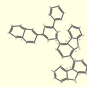 c1ccc(-c2nc(-c3ccc4ccccc4c3)nc(-c3ccc(-c4cccc5oc6ccncc6c45)c4oc5ccccc5c34)n2)cc1